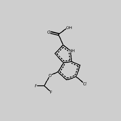 O=C(O)c1cc2c(OC(F)F)cc(Cl)cc2[nH]1